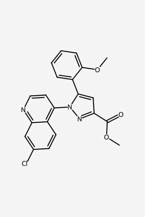 COC(=O)c1cc(-c2ccccc2OC)n(-c2ccnc3cc(Cl)ccc23)n1